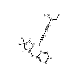 CC[C@H](O)C#CC#CC[C@H]1OC(C)(C)O[C@@H]1Cc1ccccc1